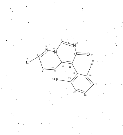 O=c1ncn2nc(Cl)ccc2c1-c1c(F)cccc1F